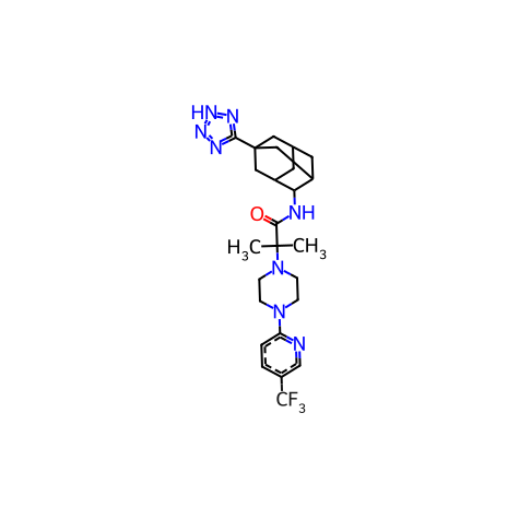 CC(C)(C(=O)NC1C2CC3CC1CC(c1nn[nH]n1)(C3)C2)N1CCN(c2ccc(C(F)(F)F)cn2)CC1